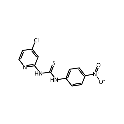 O=[N+]([O-])c1ccc(NC(=S)Nc2cc(Cl)ccn2)cc1